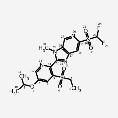 CCS(=O)(=O)c1cc(OC(C)C)cnc1-c1nc2cc(S(=O)(=O)C(F)F)ncc2n1C